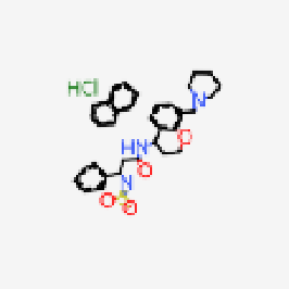 Cl.O=C(CC(N=S(=O)=O)c1ccccc1)NC1CCOc2c(CN3CCCCC3)cccc21.c1ccc2ccccc2c1